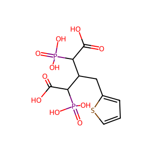 O=C(O)C(C(Cc1cccs1)C(C(=O)O)P(=O)(O)O)P(=O)(O)O